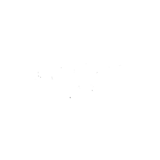 CCOC(=O)c1cc2cc(N=O)ccc2s1